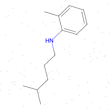 Cc1ccccc1NCCCC(C)C